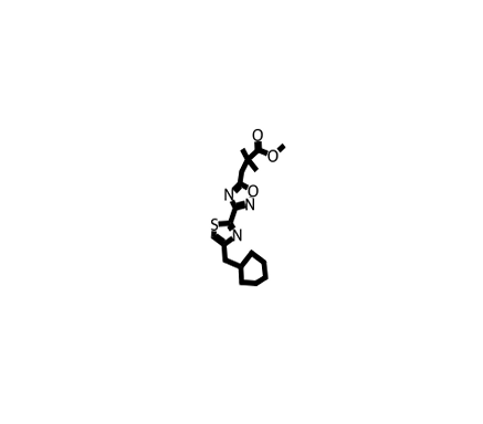 COC(=O)C(C)(C)Cc1nc(-c2nc(CC3CCCCC3)cs2)no1